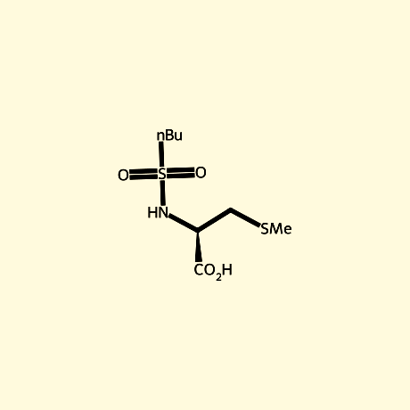 CCCCS(=O)(=O)N[C@@H](CSC)C(=O)O